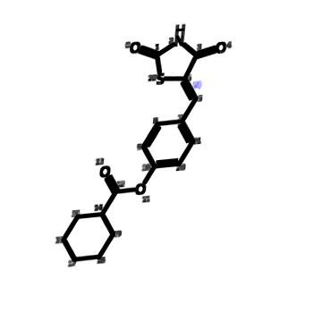 O=C1NC(=O)/C(=C/c2ccc(OC(=O)C3CCCCC3)cc2)S1